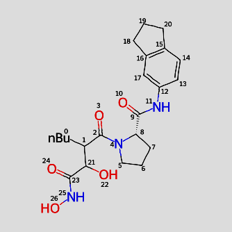 CCCCC(C(=O)N1CCC[C@H]1C(=O)Nc1ccc2c(c1)CCC2)C(O)C(=O)NO